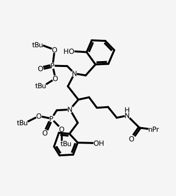 CCCC(=O)NCCCCC(CN(Cc1ccccc1O)CP(=O)(OC(C)(C)C)OC(C)(C)C)N(Cc1ccccc1O)CP(=O)(OC(C)(C)C)OC(C)(C)C